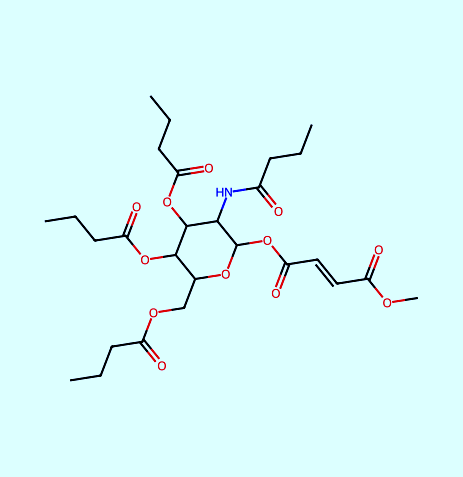 CCCC(=O)NC1C(OC(=O)/C=C/C(=O)OC)OC(COC(=O)CCC)C(OC(=O)CCC)C1OC(=O)CCC